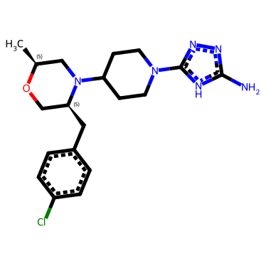 C[C@H]1CN(C2CCN(c3nnc(N)[nH]3)CC2)[C@@H](Cc2ccc(Cl)cc2)CO1